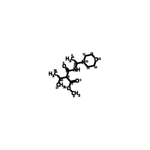 COC(=O)C(C(=O)NC(C)N1CCOCC1)C(C)C